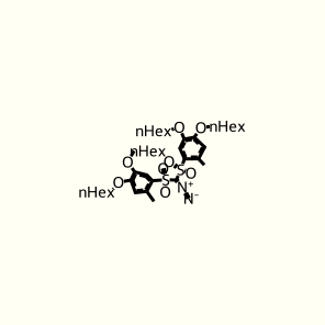 CCCCCCOc1cc(C)c(S(=O)(=O)C(=[N+]=[N-])S(=O)(=O)c2cc(OCCCCCC)c(OCCCCCC)cc2C)cc1OCCCCCC